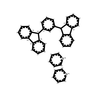 c1cc(C2c3ccccc3-c3ccccc32)cc(C2c3ccccc3-c3ccccc32)c1.c1ccncc1.c1ccncc1